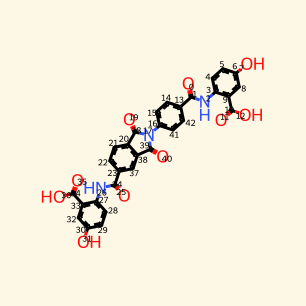 O=C(Nc1ccc(O)cc1C(=O)O)c1ccc(N2C(=O)c3ccc(C(=O)Nc4ccc(O)cc4C(=O)O)cc3C2=O)cc1